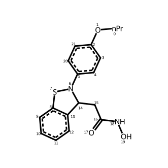 CCCOc1ccc(N2Sc3ccccc3C2CC(=O)NO)cc1